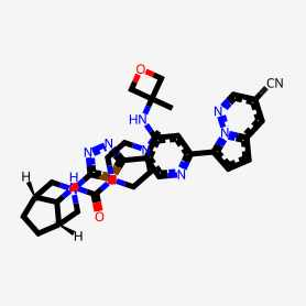 CN1CCN(C(=O)NC2[C@@H]3CC[C@H]2CN(c2nnc(-c4cnc(-c5ccc6cc(C#N)cnn56)cc4NC4(C)COC4)s2)C3)CC1